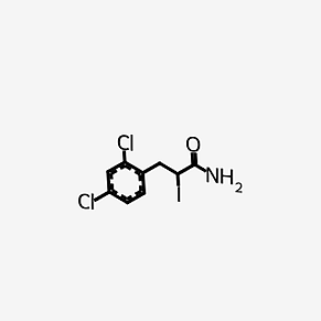 NC(=O)C(I)Cc1ccc(Cl)cc1Cl